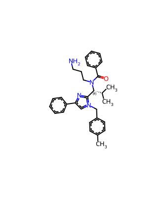 Cc1ccc(Cn2cc(-c3ccccc3)nc2[C@@H](C(C)C)N(CCCN)C(=O)c2ccccc2)cc1